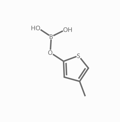 Cc1csc(OB(O)O)c1